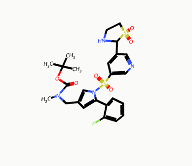 CN(Cc1cc(-c2ccccc2F)n(S(=O)(=O)c2cncc(C3NCCS3(=O)=O)c2)c1)C(=O)OC(C)(C)C